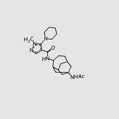 CC(=O)NC12CC3CCC(NC(=O)c4cnn(C)c4N4CCCCC4)C(C1)C(C3)C2